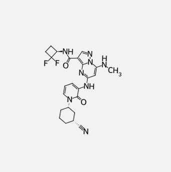 CNc1cc(Nc2cccn([C@H]3CCC[C@@H](C#N)C3)c2=O)nc2c(C(=O)N[C@@H]3CCC3(F)F)cnn12